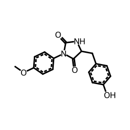 COc1ccc(N2C(=O)NC(Cc3ccc(O)cc3)C2=O)cc1